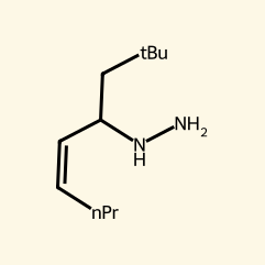 CCC/C=C\C(CC(C)(C)C)NN